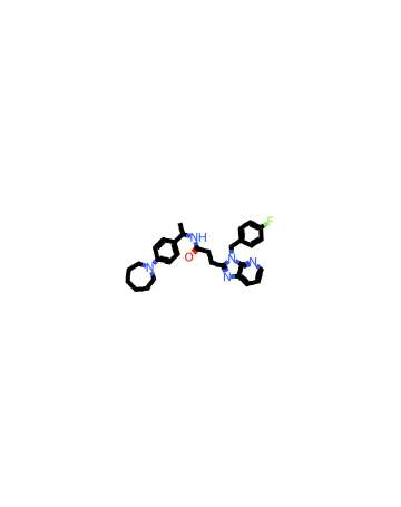 CC(NC(=O)CCc1nc2cccnc2n1Cc1ccc(F)cc1)c1ccc(N2CCCCCC2)cc1